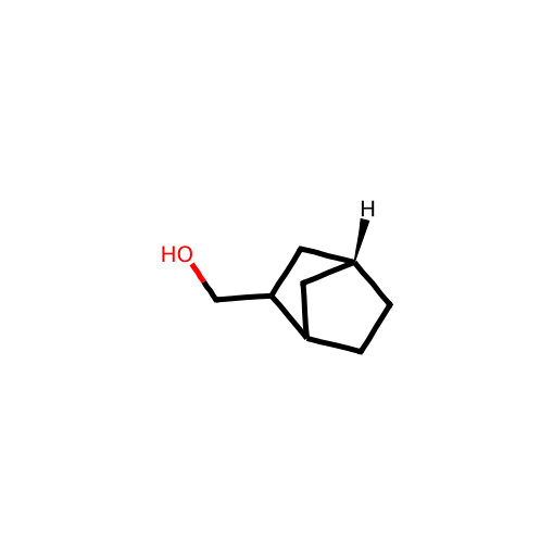 OCC1C[C@@H]2CCC1C2